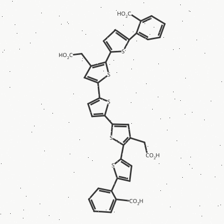 O=C(O)Cc1cc(-c2ccc(-c3cc(CC(=O)O)c(-c4ccc(-c5ccccc5C(=O)O)s4)s3)s2)sc1-c1ccc(-c2ccccc2C(=O)O)s1